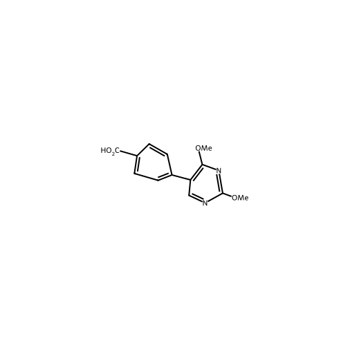 COc1ncc(-c2ccc(C(=O)O)cc2)c(OC)n1